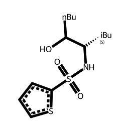 CCCCC(O)C(NS(=O)(=O)c1cccs1)[C@@H](C)CC